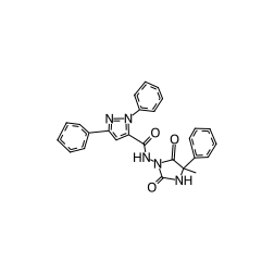 CC1(c2ccccc2)NC(=O)N(NC(=O)c2cc(-c3ccccc3)nn2-c2ccccc2)C1=O